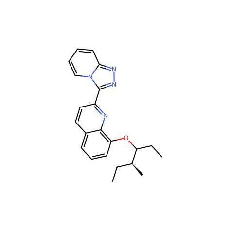 CCC(Oc1cccc2ccc(-c3nnc4ccccn34)nc12)[C@@H](C)CC